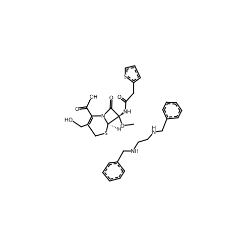 CO[C@@]1(NC(=O)Cc2cccs2)C(=O)N2C(C(=O)O)=C(CO)CS[C@@H]21.c1ccc(CNCCNCc2ccccc2)cc1